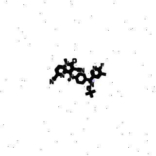 Cc1cc(/C(=N/OC(C)(C)C)C2CCC(N(C)c3c(C#N)c(=O)n(C)c4ccc(C#N)nc34)CC2)cnc1F